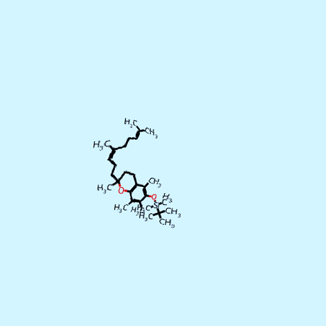 CC(C)=CCCC(C)=CCCC1(C)CCc2c(C)c(O[Si](C)(C)C(C)(C)C)c(C)c(C)c2O1